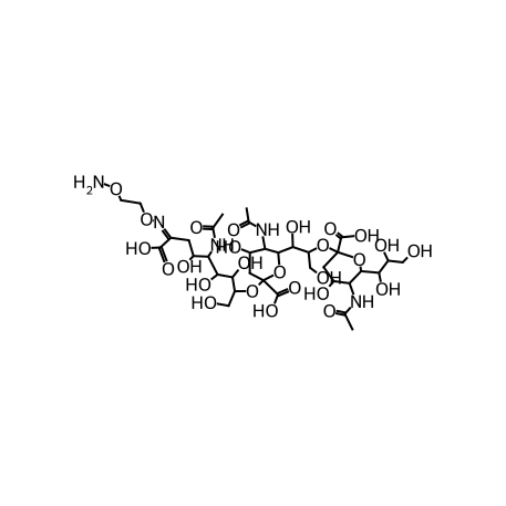 CC(=O)NC(C(O)C/C(=N/OCCON)C(=O)O)C(O)C(O)C(CO)OC1(C(=O)O)CC(O)C(NC(C)=O)C(C(O)C(CO)OC2(C(=O)O)CC(O)C(NC(C)=O)C(C(O)C(O)CO)O2)O1